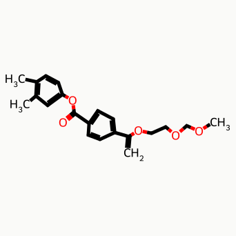 C=C(OCCOCOC)c1ccc(C(=O)Oc2ccc(C)c(C)c2)cc1